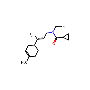 CC1=CCC(/C(C)=C/CN(CC(C)C)C(=O)C2CC2)CC1